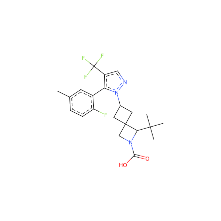 Cc1ccc(F)c(-c2c(C(F)(F)F)cnn2C2CC3(C2)CN(C(=O)O)C3C(C)(C)C)c1